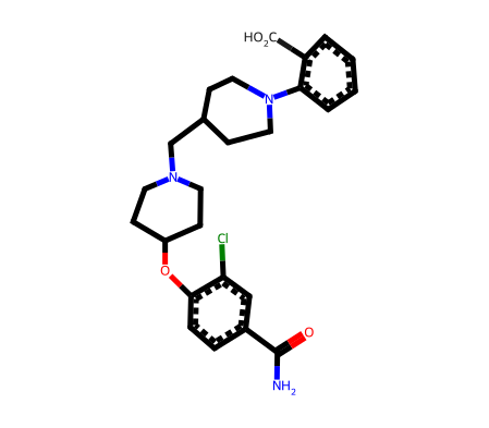 NC(=O)c1ccc(OC2CCN(CC3CCN(c4ccccc4C(=O)O)CC3)CC2)c(Cl)c1